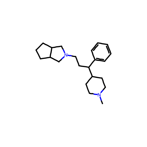 CN1CCC(C(CCN2CC3CCCC3C2)c2ccccc2)CC1